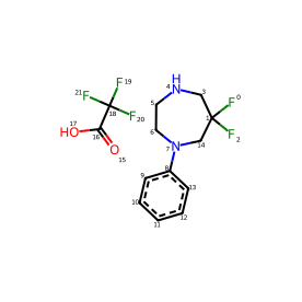 FC1(F)CNCCN(c2ccccc2)C1.O=C(O)C(F)(F)F